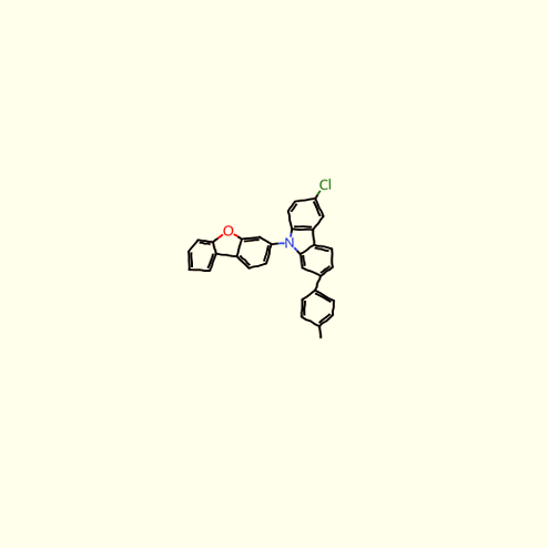 Cc1ccc(-c2ccc3c4cc(Cl)ccc4n(-c4ccc5c(c4)oc4ccccc45)c3c2)cc1